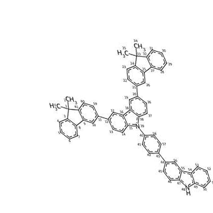 CC1(C)c2ccccc2-c2cc(-c3ccc4c(c3)c3cc(-c5ccc6c(c5)-c5ccccc5C6(C)C)ccc3n4-c3ccc(-c4ccc5[nH]c6ccccc6c5c4)cc3)ccc21